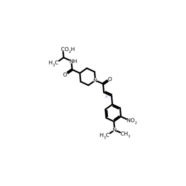 CC(NC(=O)C1CCN(C(=O)/C=C/c2ccc(N(C)C)c([N+](=O)[O-])c2)CC1)C(=O)O